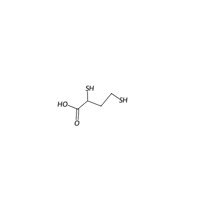 O=C(O)C(S)CCS